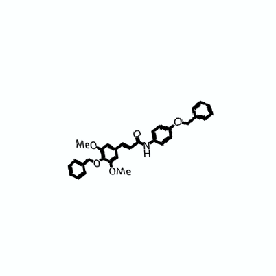 COc1cc(/C=C/C(=O)Nc2ccc(OCc3ccccc3)cc2)cc(OC)c1OCc1ccccc1